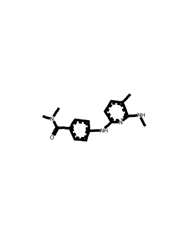 CNc1nc(Nc2ccc(C(=O)N(C)C)cc2)ccc1C